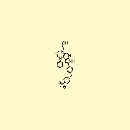 CS(=O)(=O)C1CCN(Cc2ccc(-c3cc4c5c(cnc4[nH]3)N(CCO)COCN5c3ccccc3)cc2)CC1